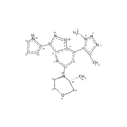 Cc1nnn(C)c1-c1cc(N2CCOC[C@H]2C)nc2c(-c3ccc[nH]3)noc12